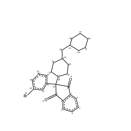 O=C1c2ccccc2C(=O)C1(c1cncc(Br)c1)N1CCN(CC2CCCCC2)CC1